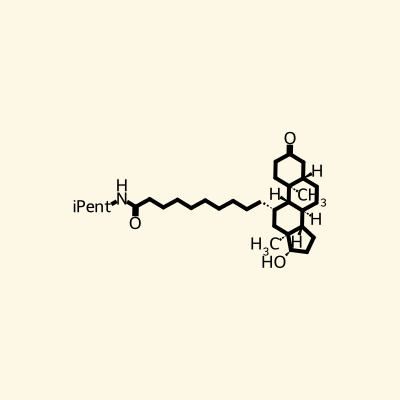 CCCC(C)NC(=O)CCCCCCCCC[C@H]1C[C@]2(C)[C@@H](O)CC[C@H]2[C@@H]2CC[C@H]3CC(=O)CC[C@]3(C)[C@@H]12